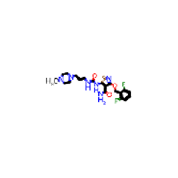 CN1CCN(CCCNC(=O)Nc2snc(OCc3c(F)cccc3F)c2C(N)=O)CC1